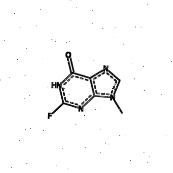 Cn1cnc2c(=O)[nH]c(F)nc21